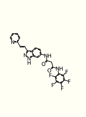 O=C(CC(=O)Nc1c(F)c(F)c(F)c(F)c1F)Nc1ccc2c(/C=C/c3ccccn3)n[nH]c2c1